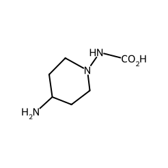 NC1CCN(NC(=O)O)CC1